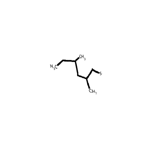 CCC(C)CC(C)C[S]